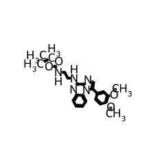 COc1ccc(-c2cnc3c(NCCNC(=O)OC(C)(C)C)nc4ccccc4n23)cc1OC